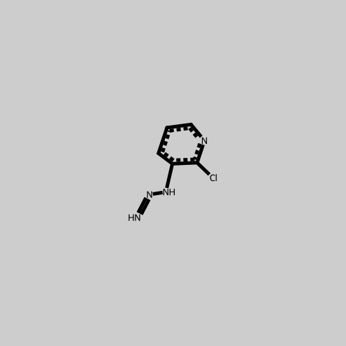 N=NNc1cccnc1Cl